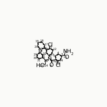 NC(=O)c1ccc(C(=O)N(c2ccc(Cl)c(-c3ccccn3)c2)[C@@H](CO)c2ccccc2)c(Cl)c1